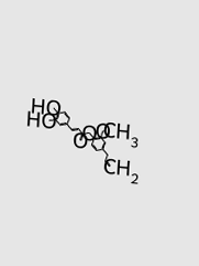 C=CCc1ccc(OC(=O)/C=C/c2ccc(O)c(O)c2)c(OC)c1